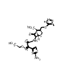 Cn1nnnc1SCC1=C(C(=O)O)N2C(=O)C(NC(=O)/C(=N\OCC(=O)O)c3csc(N)n3)[C@H]2SC1